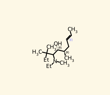 C/C=C/C[C@@H](C)[C@@H](O)C(N(C)CC)C(C)(C)CC